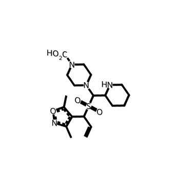 C=CC(c1c(C)noc1C)S(=O)(=O)C(C1CCCCN1)N1CCN(C(=O)O)CC1